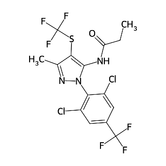 CCC(=O)Nc1c(SC(F)(F)F)c(C)nn1-c1c(Cl)cc(C(F)(F)F)cc1Cl